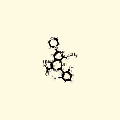 COc1nc(N2CCOCC2)cc2c1NC(c1c(F)cccc1F)=Nc1c(C)n[nH]c1-2